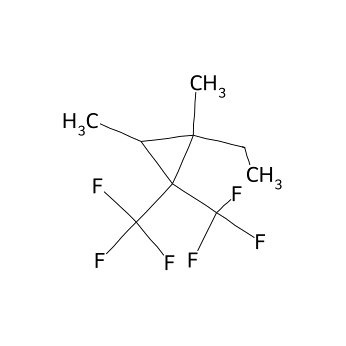 CCC1(C)C(C)C1(C(F)(F)F)C(F)(F)F